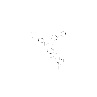 O=C(Nc1nn[nH]n1)c1ccc(CN(C(=O)Cc2ccc(-c3ccccc3)cc2)c2ccc(C3CCCCC3)cc2)cc1